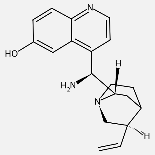 C=C[C@H]1C[N@@]2CCC1C[C@H]2[C@@H](N)c1ccnc2ccc(O)cc12